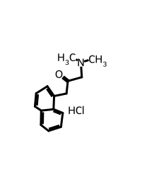 CN(C)CC(=O)Cc1cccc2ccccc12.Cl